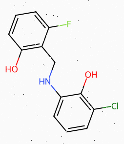 Oc1cccc(F)c1CNc1cccc(Cl)c1O